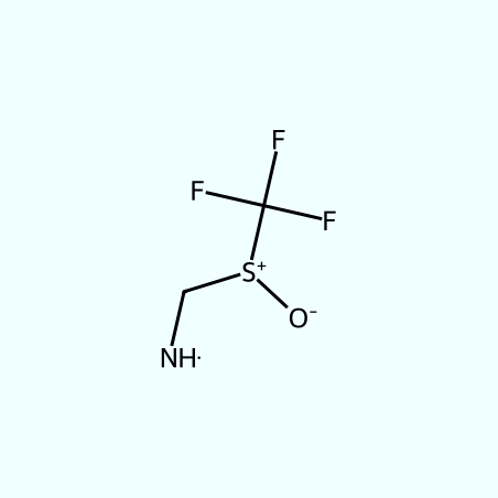 [NH]C[S+]([O-])C(F)(F)F